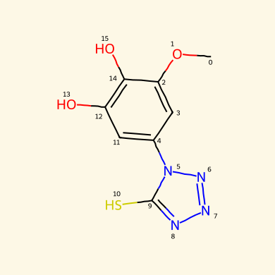 COc1cc(-n2nnnc2S)cc(O)c1O